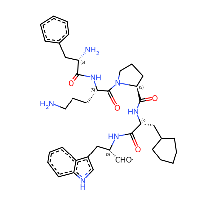 NCCC[C@H](NC(=O)[C@@H](N)Cc1ccccc1)C(=O)N1CCC[C@H]1C(=O)N[C@H](CC1CCCCC1)C(=O)N[C@H]([C]=O)Cc1c[nH]c2ccccc12